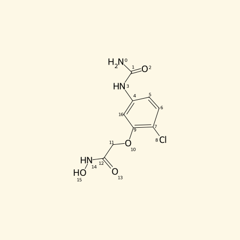 NC(=O)Nc1ccc(Cl)c(OCC(=O)NO)c1